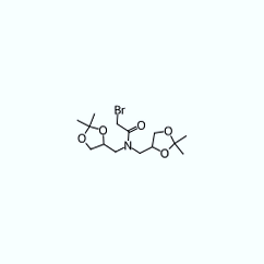 CC1(C)OCC(CN(CC2COC(C)(C)O2)C(=O)CBr)O1